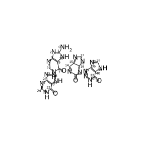 Nc1nc2nc[nH]c(=O)c2[nH]1.O=C1N=CC2=NC=NC2=N1.O=c1[nH]cnc2nn[nH]c12.O=c1[nH]nnc2nc[nH]c12